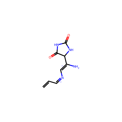 C=C/C=N\C=C(/N)C1NC(=O)NC1=O